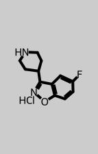 Cl.Fc1ccc2onc(C3CCNCC3)c2c1